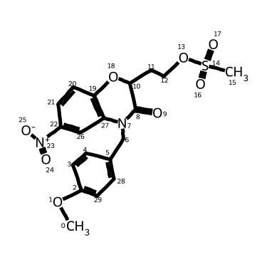 COc1ccc(CN2C(=O)C(CCOS(C)(=O)=O)Oc3ccc([N+](=O)[O-])cc32)cc1